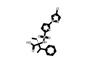 CC[C@@](NS(=O)(=O)c1ccc(-n2cc(Cl)cn2)s1)(C(=O)O)C(C)c1ccccc1